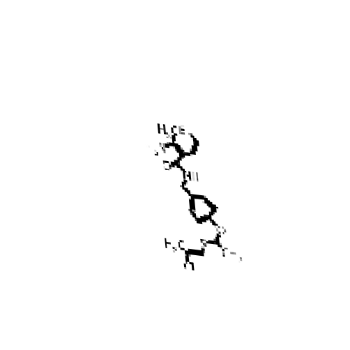 CC/C=C\C(C(=O)NCc1ccc(OC(C)S/C=C(\C)Cl)cc1)=C(/C)N